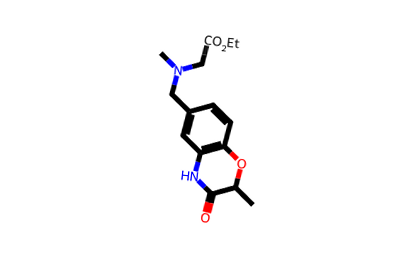 CCOC(=O)CN(C)Cc1ccc2c(c1)NC(=O)C(C)O2